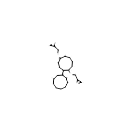 C1CCCCC(C2CCC(OCC3CO3)CCCCC2OCC2CO2)CCC1